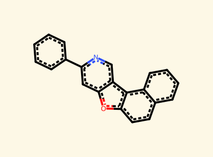 c1ccc(-c2cc3oc4ccc5ccccc5c4c3cn2)cc1